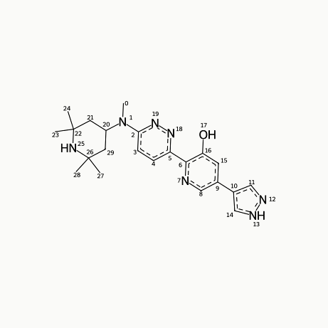 CN(c1ccc(-c2ncc(-c3cn[nH]c3)cc2O)nn1)C1CC(C)(C)NC(C)(C)C1